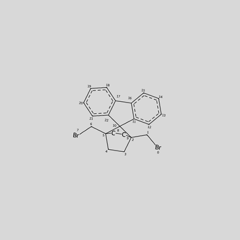 BrCC12CCC(CBr)(CC1)C21c2ccccc2-c2ccccc21